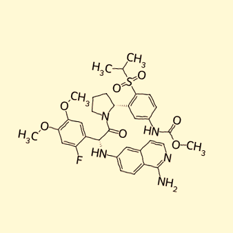 COC(=O)Nc1ccc(S(=O)(=O)C(C)C)c([C@H]2CCCN2C(=O)[C@H](Nc2ccc3c(N)nccc3c2)c2cc(OC)c(OC)cc2F)c1